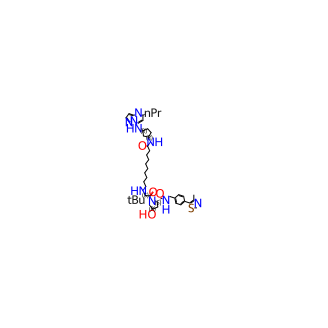 CCCc1cc(N[C@@H]2CC[C@@H](NC(=O)CCCCCCCCCN[C@H](C(=O)N3C[C@H](O)C[C@H]3C(=O)NCc3ccc(-c4scnc4C)cc3)C(C)(C)C)C2)n2nccc2n1